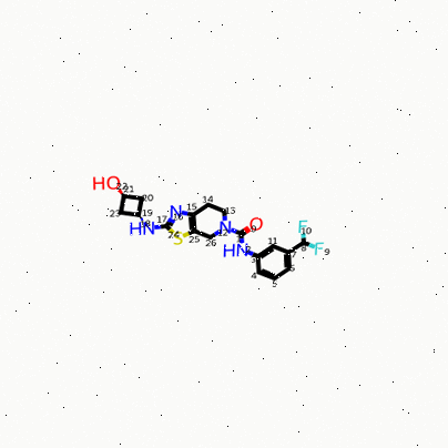 O=C(Nc1cccc(C(F)F)c1)N1CCc2nc(N[C@H]3C[C@H](O)C3)sc2C1